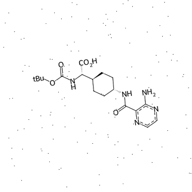 CC(C)(C)OC(=O)N[C@H](C(=O)O)[C@H]1CC[C@H](NC(=O)c2nccnc2N)CC1